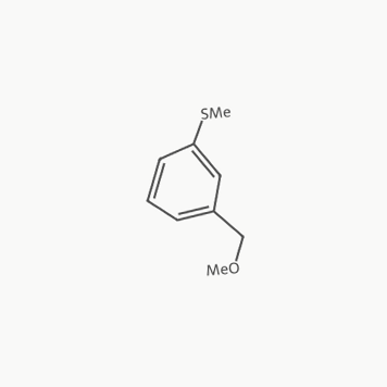 COCc1cccc(SC)c1